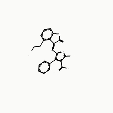 Cc1[nH]c(C=C2C(=O)Nc3cccc(CCO)c32)c(-c2ccccc2)c1C(N)=O